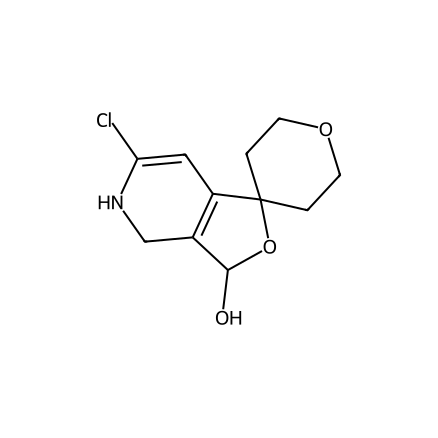 OC1OC2(CCOCC2)C2=C1CNC(Cl)=C2